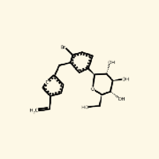 C=Cc1ccc(Cc2cc([C@@H]3O[C@H](CO)[C@@H](O)[C@H](O)[C@H]3O)ccc2Br)cc1